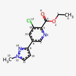 CCOC(=O)c1ncc(-c2ccn(C)n2)cc1Cl